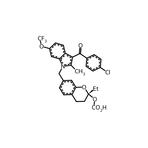 CC[C@@]1(OC(=O)O)CCc2ccc(Cn3c(C)c(C(=O)c4ccc(Cl)cc4)c4ccc(OC(F)(F)F)cc43)cc2O1